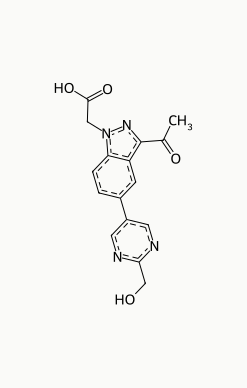 CC(=O)c1nn(CC(=O)O)c2ccc(-c3cnc(CO)nc3)cc12